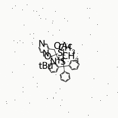 CC(=O)OC(c1cnccn1)C1([SiH](C)C)C(=O)N(C(C)(C)C)C1SC(c1ccccc1)(c1ccccc1)c1ccccc1